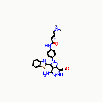 CN(C)C/C=C/C(=O)Nc1ccc(-n2nc3c(c2-c2nc4ccccc4s2)C(N)=NNC3=C=O)cc1